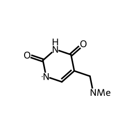 CNCC1=C[N]C(=O)NC1=O